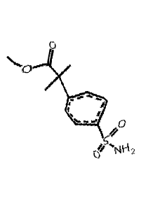 COC(=O)C(C)(C)c1ccc(S(N)(=O)=O)cc1